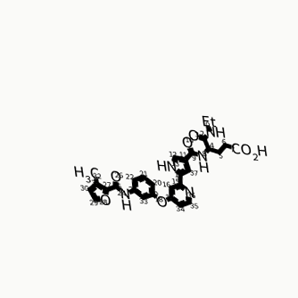 CCNC(=O)C(CCC(=O)O)NC(=O)c1c[nH]c(-c2cc(Oc3cccc(NC(=O)c4occc4C)c3)ccn2)c1